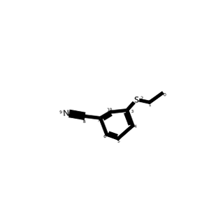 CCSc1cccc(C#N)c1